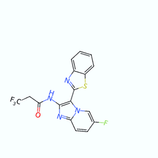 O=C(CC(F)(F)F)Nc1nc2ccc(F)cn2c1-c1nc2ccccc2s1